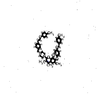 C/C(C(=O)N1CCN(Cc2ccc(CCOc3ccc(C)cc3)cc2)CC1)=C(\C)c1cc(C)c(Oc2ccc(OCc3ccc(C)cc3)cn2)c(Cl)c1